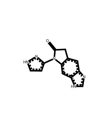 O=C1Cc2cc3nc[nH]c3cc2N1c1cc[nH]n1